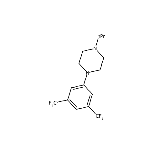 CCCN1CCN(c2cc(C(F)(F)F)cc(C(F)(F)F)c2)CC1